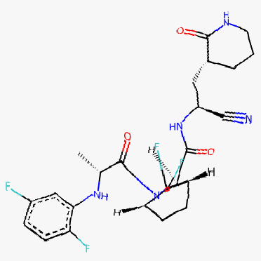 C[C@@H](Nc1cc(F)ccc1F)C(=O)N1[C@H]2CC[C@@H]([C@@H]1C(=O)N[C@H](C#N)C[C@H]1CCCNC1=O)C(F)(F)C2